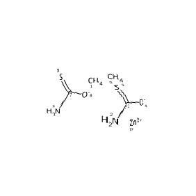 C.C.NC([O-])=S.NC([O-])=S.[Zn+2]